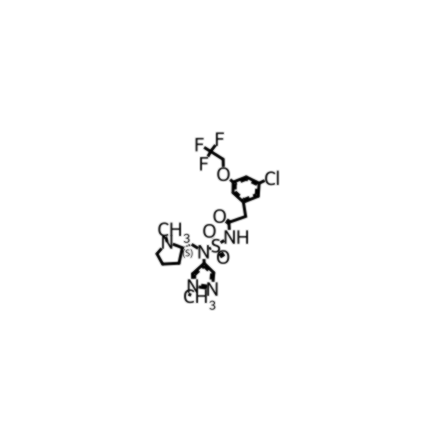 CN1CCC[C@H]1CN(c1cnn(C)c1)S(=O)(=O)NC(=O)Cc1cc(Cl)cc(OCC(F)(F)F)c1